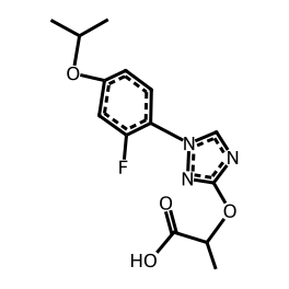 CC(C)Oc1ccc(-n2cnc(OC(C)C(=O)O)n2)c(F)c1